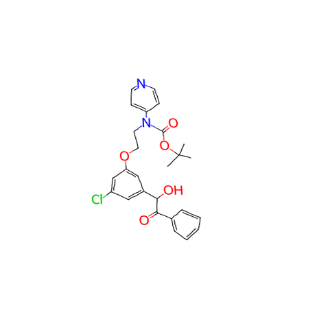 CC(C)(C)OC(=O)N(CCOc1cc(Cl)cc(C(O)C(=O)c2ccccc2)c1)c1ccncc1